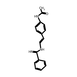 CC(=O)Nc1ccc(/C=C/NC(=N)c2ccccc2)cc1